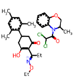 CC1COc2ccccc2N1C(=O)C(Cl)Cl.CCO/N=C(\CC)C1=C(O)CC(c2c(C)cc(C)cc2C)CC1=O